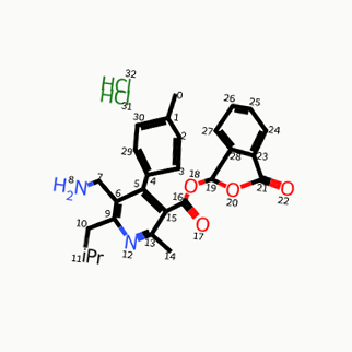 Cc1ccc(-c2c(CN)c(CC(C)C)nc(C)c2C(=O)OC2OC(=O)c3ccccc32)cc1.Cl.Cl